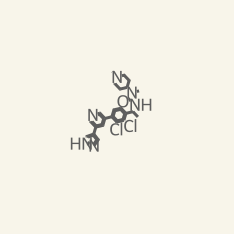 CC(NC(=O)N(C)C1CCN(C)CC1)c1ccc(-c2cncc(-c3cn[nH]c3)c2)c(Cl)c1Cl